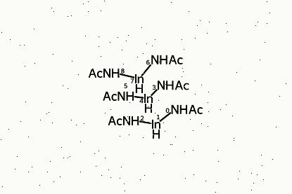 CC(=O)[NH][InH][NH]C(C)=O.CC(=O)[NH][InH][NH]C(C)=O.CC(=O)[NH][InH][NH]C(C)=O